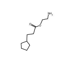 NCCOC(=O)CCC1CCCC1